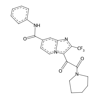 O=C(Nc1ccccc1)c1ccn2c(C(=O)C(=O)N3CCCCC3)c(C(F)(F)F)nc2c1